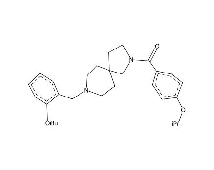 CC(C)COc1ccccc1CN1CCC2(CC1)CCN(C(=O)c1ccc(OC(C)C)cc1)C2